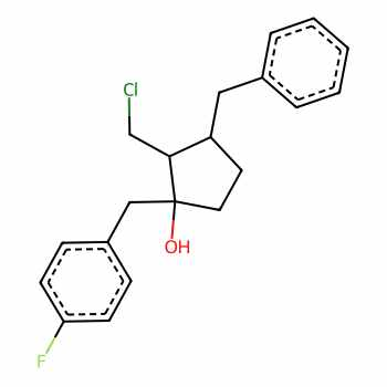 OC1(Cc2ccc(F)cc2)CCC(Cc2ccccc2)C1CCl